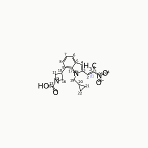 C/C(=C\c1cc2cccc(C3CN(C(=O)O)C3)c2n1CC1CC1)[N+](=O)[O-]